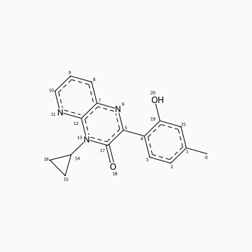 Cc1ccc(-c2nc3cccnc3n(C3CC3)c2=O)c(O)c1